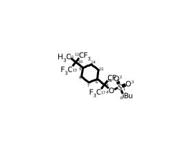 CCC(C)S(=O)(=O)OC(C1CCC(C(C)(C(F)(F)F)C(F)(F)F)CC1)(C(F)(F)F)C(F)(F)F